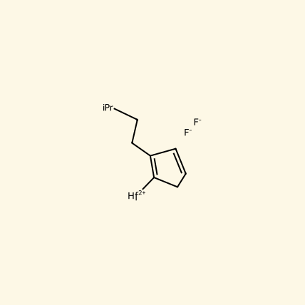 CC(C)CCC1=[C]([Hf+2])CC=C1.[F-].[F-]